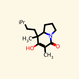 CC1=C(O)C(C)(CCC(C)C)C2CCCN2C1=O